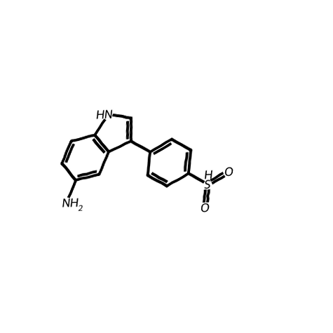 Nc1ccc2[nH]cc(-c3ccc([SH](=O)=O)cc3)c2c1